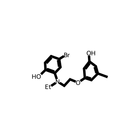 CCN(CCOc1cc(C)cc(O)c1)c1cc(Br)ccc1O